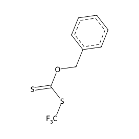 FC(F)(F)SC(=S)OCc1ccccc1